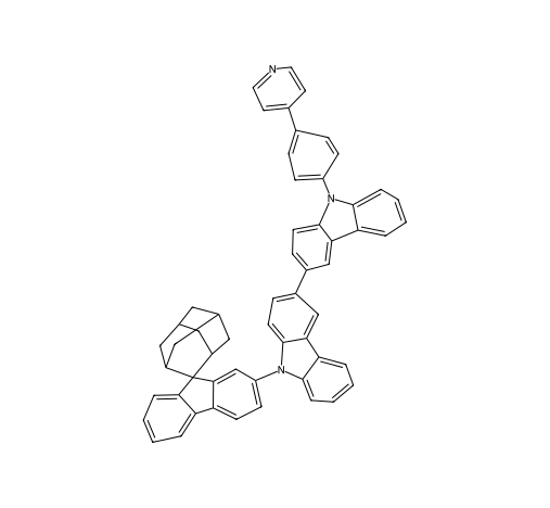 c1ccc2c(c1)-c1ccc(-n3c4ccccc4c4cc(-c5ccc6c(c5)c5ccccc5n6-c5ccc(-c6ccncc6)cc5)ccc43)cc1C21C2CC3CC(C2)CC1C3